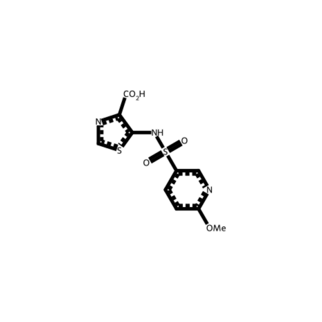 COc1ccc(S(=O)(=O)Nc2scnc2C(=O)O)cn1